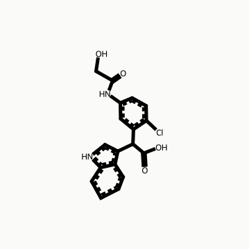 O=C(CO)Nc1ccc(Cl)c(C(C(=O)O)c2c[nH]c3ccccc23)c1